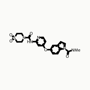 CNC(=O)n1ccc2cc(Oc3ccnc(NC(=O)N4CCS(=O)(=O)CC4)c3)ccc21